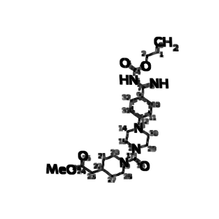 C=CCOC(=O)NC(=N)c1ccc(N2CCN(C(=O)N3CCC(CC(=O)OC)CC3)CC2)cc1